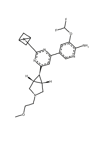 COCCN1C[C@@H]2[C@H](C1)[C@H]2c1cc(-c2cnc(N)c(OC(F)F)c2)nc(N2CC3CC2C3)n1